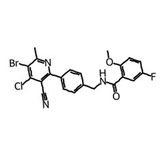 COc1ccc(F)cc1C(=O)NCc1ccc(-c2nc(C)c(Br)c(Cl)c2C#N)cc1